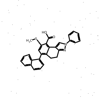 CSc1cc(-c2cccc3ccccc23)c2c(c1C(=O)O)-c1cn(-c3ccccc3)nc1CC2